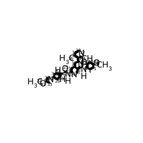 COc1ccc(Nc2nc(-c3cnccc3C)cc3cc(NC(=O)[C@@H]4[C@@H]5C[C@@H](N6CC(OC)C6)C[C@@H]54)ncc23)c(OC)c1